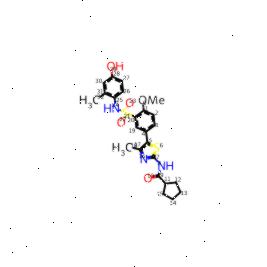 COc1ccc(-c2sc(NC(=O)C3CCCC3)nc2C)cc1S(=O)(=O)Nc1ccc(O)cc1C